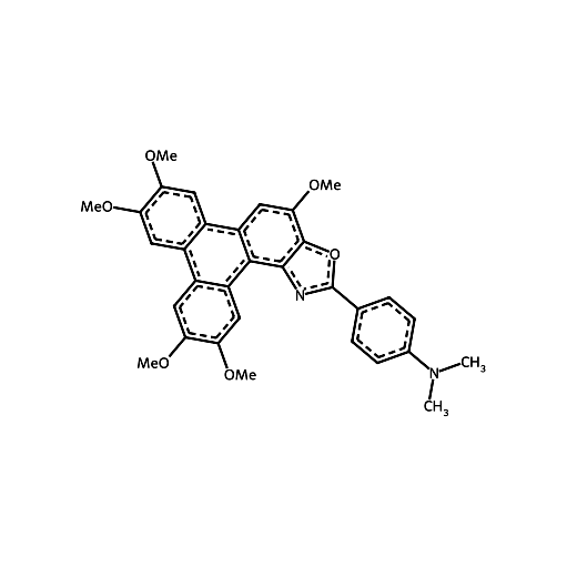 COc1cc2c3cc(OC)c(OC)cc3c3c(cc(OC)c4oc(-c5ccc(N(C)C)cc5)nc43)c2cc1OC